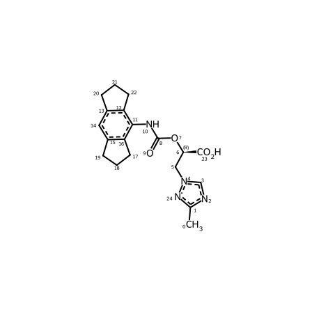 Cc1ncn(C[C@@H](OC(=O)Nc2c3c(cc4c2CCC4)CCC3)C(=O)O)n1